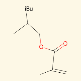 C=C(C)C(=O)OCC(C)C(C)CC